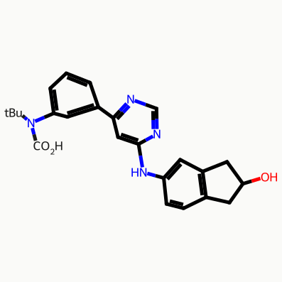 CC(C)(C)N(C(=O)O)c1cccc(-c2cc(Nc3ccc4c(c3)CC(O)C4)ncn2)c1